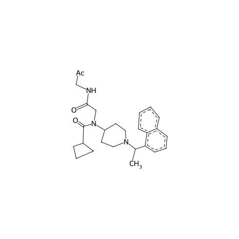 CC(=O)CNC(=O)CN(C(=O)C1CCC1)C1CCN(C(C)c2cccc3ccccc23)CC1